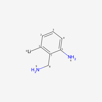 [Li][c]1cccc(N)c1CN